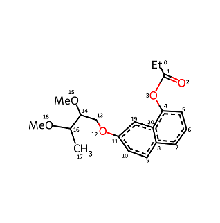 CCC(=O)Oc1cccc2ccc(OCC(OC)C(C)OC)cc12